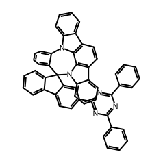 c1ccc(-c2nc(-c3ccccc3)nc(-c3ccc4c(c3)C3(c5ccccc5-4)c4ccccc4-n4c5ccccc5c5ccc6c7ccccc7n3c6c54)n2)cc1